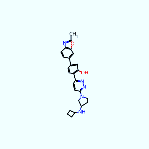 Cc1nc2ccc(-c3ccc(-c4ccc(N5CCC(NC6CCC6)C5)nn4)c(O)c3)cc2o1